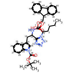 CCCCC(C(=O)O)n1nnnc1C(Cc1cn(C(=O)OC(C)(C)C)c2ccccc12)NC(=O)OCC1c2ccccc2-c2ccccc21